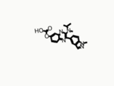 CC(C)N(C)c1nc2cc(OC(=O)O)ccc2nc1-c1ccc2c(cnn2C)c1